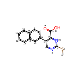 CSc1ncc(-c2ccc3ccccc3c2)c(C(=O)O)n1